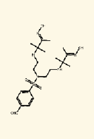 C/C(=N\O)C(C)(C)NCCN(CCNC(C)(C)/C(C)=N/O)S(=O)(=O)c1ccc(C=O)cc1